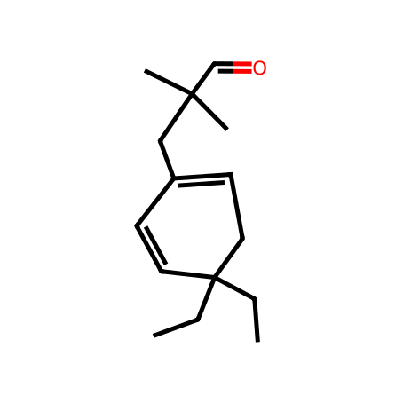 CCC1(CC)C=CC(CC(C)(C)C=O)=CC1